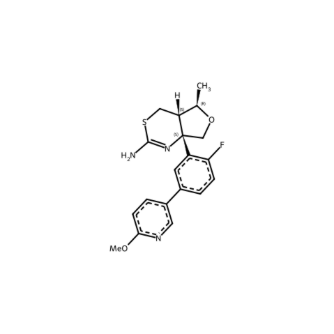 COc1ccc(-c2ccc(F)c([C@]34CO[C@H](C)[C@H]3CSC(N)=N4)c2)cn1